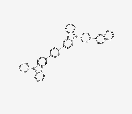 c1ccc(-n2c3ccccc3c3cc(-c4ccc(-c5ccc6c(c5)c5ccccc5n6-c5ccc(-c6ccc7ccccc7c6)cc5)cc4)ccc32)cc1